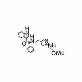 COCCNc1ccc(CCN[C@H](C(=O)c2c[nH]c3ccccc23)c2ccccc2)cn1